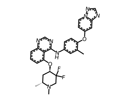 Cc1cc(Nc2ncnc3cccc(O[C@@H]4C[C@@H](C)N(C)CC4(F)F)c23)ccc1Oc1ccn2ncnc2c1